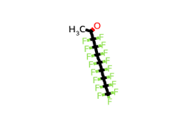 CC(=O)C(F)(F)C(F)(F)C(F)(F)C(F)(F)C(F)(F)C(F)(F)C(F)(F)C(F)(F)F